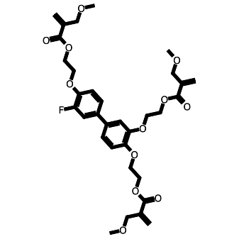 C=C(COC)C(=O)OCCOc1ccc(-c2ccc(OCCOC(=O)C(=C)COC)c(OCCOC(=O)C(=C)COC)c2)cc1F